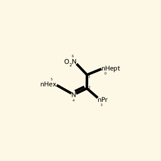 CCCCCCCC(/C(CCC)=N\CCCCCC)[N+](=O)[O-]